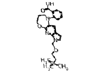 C[Si](C)(C)CCOCn1ccc2cc3c(nc21)OCCCN3c1ccccc1C(=O)O